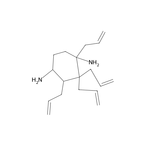 C=CCC1C(N)CCC(N)(CC=C)C1(CC=C)CC=C